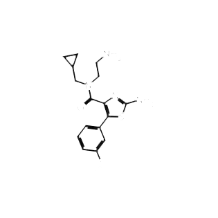 NCCN(CC1CC1)C(=O)c1nc(N)sc1-c1cccc(Cl)c1